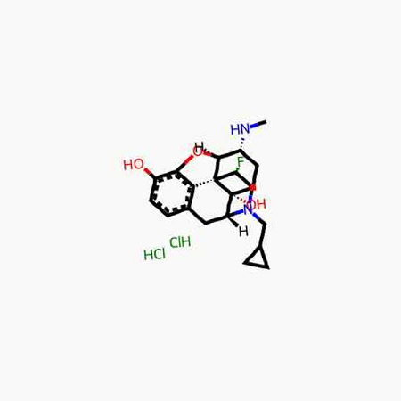 CN[C@@H]1CC[C@@]2(O)[C@H]3Cc4ccc(O)c5c4[C@@]2([C@H](F)CN3CC2CC2)[C@H]1O5.Cl.Cl